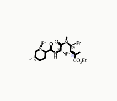 CCOC(=O)/C(C)=C/[C@H](C(C)C)N(C)C(=O)[C@@H](NC(=O)C1CC[C@H](C)CN1C(C)C)C(C)C